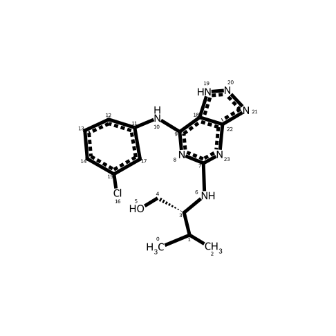 CC(C)[C@H](CO)Nc1nc(Nc2cccc(Cl)c2)c2[nH]nnc2n1